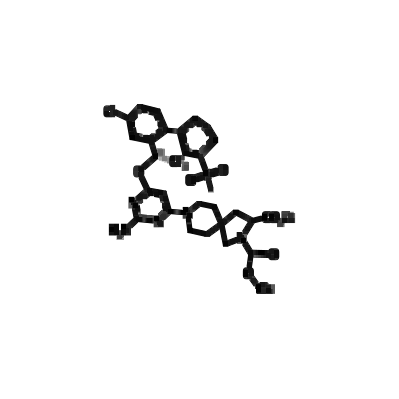 CCOC(=O)C1CC2(CCN(c3cc(O[C@H](c4cc(Cl)ccc4-c4cccc(S(C)(=O)=O)c4)C(F)(F)F)nc(N)n3)CC2)CN1C(=O)OC(C)(C)C